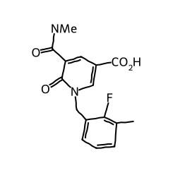 CNC(=O)c1cc(C(=O)O)cn(Cc2cccc(C)c2F)c1=O